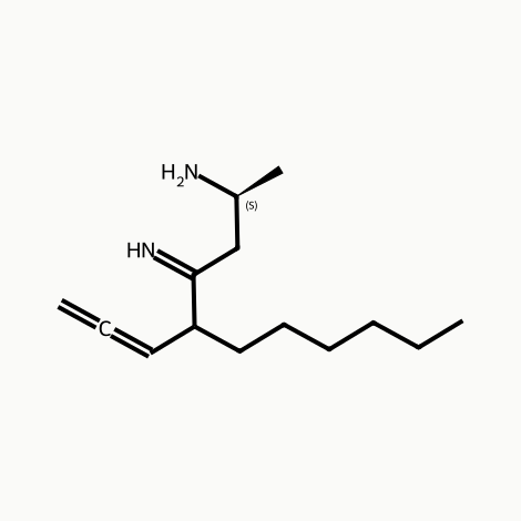 C=C=CC(CCCCCC)C(=N)C[C@H](C)N